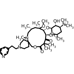 CO[C@]1(C)C[C@@H](C)CN(C)C2(CCN(CCc3cccnc3)CC2)COC(=O)C(C)(C)C(=O)[C@H](C)[C@H]1O[C@@H]1O[C@H](C)C[C@H](N(C)C)[C@H]1O